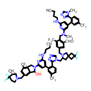 C[C@@H]1CN(Cc2cc3c(c(C(F)(F)F)c2)CN(c2cc(-c4cc(C(F)(F)F)ccc4-c4nncn4CC4CC5(CN4Cc4cc(C=O)c(CN(C)c6cc(-c7cc(C(F)(F)F)ccc7-c7nncn7C)cc(NCCCC#N)n6)c(C(F)(F)F)c4)CC(F)(F)C5)cc(NCCCC#N)n2)C3O)CCC1(F)F